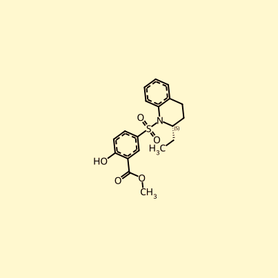 CC[C@H]1CCc2ccccc2N1S(=O)(=O)c1ccc(O)c(C(=O)OC)c1